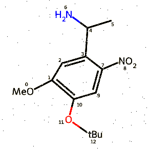 COc1cc(C(C)N)c([N+](=O)[O-])cc1OC(C)(C)C